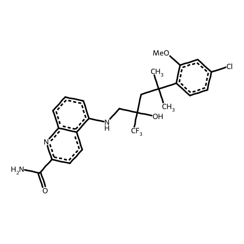 COc1cc(Cl)ccc1C(C)(C)CC(O)(CNc1cccc2nc(C(N)=O)ccc12)C(F)(F)F